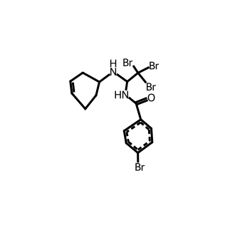 O=C(NC(NC1CC=CCC1)C(Br)(Br)Br)c1ccc(Br)cc1